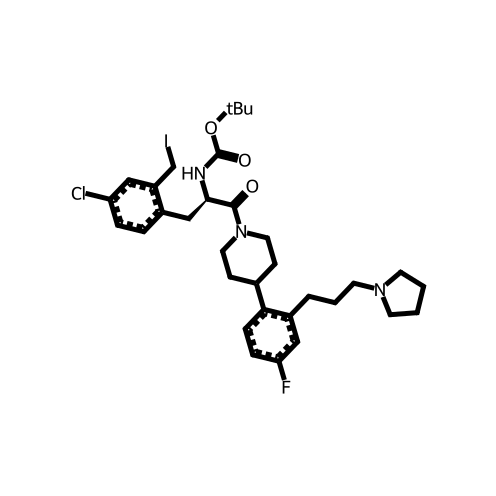 CC(C)(C)OC(=O)N[C@H](Cc1ccc(Cl)cc1CI)C(=O)N1CCC(c2ccc(F)cc2CCCN2CCCC2)CC1